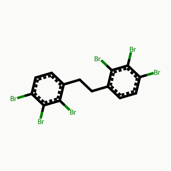 Brc1ccc(CCc2ccc(Br)c(Br)c2Br)c(Br)c1Br